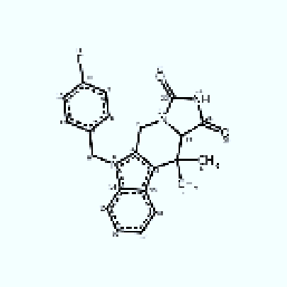 CC1(C)c2c(n(Cc3ccc(F)cc3)c3ccccc23)CN2C(=O)NC(=O)C21